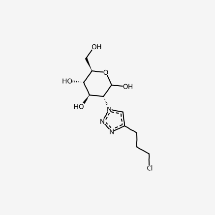 OC[C@H]1OC(O)[C@H](n2cc(CCCCl)nn2)[C@@H](O)[C@@H]1O